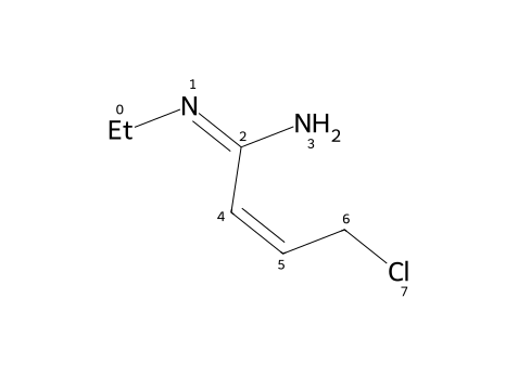 CC/N=C(N)\C=C/CCl